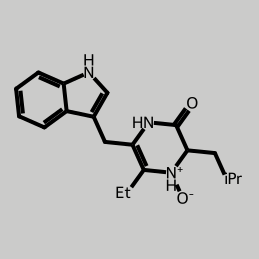 CCC1=C(Cc2c[nH]c3ccccc23)NC(=O)C(CC(C)C)[NH+]1[O-]